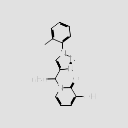 CCCCC(c1cn(-c2ccccc2C)nn1)n1cccc(O)c1=O